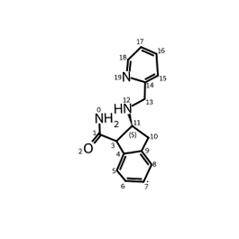 NC(=O)C1c2cc[c]cc2C[C@@H]1NCc1ccccn1